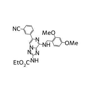 CCOC(=O)Nc1nc2c(NCc3ccc(OC)cc3OC)nc(-c3cccc(C#N)c3)cn2n1